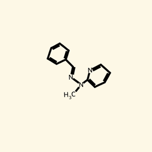 CN(N=Cc1ccccc1)c1ccccn1